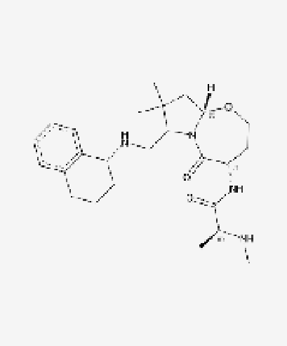 CN[C@@H](C)C(=O)N[C@H]1CCO[C@H]2CC(C)(C)C(CNC3CCCc4ccccc43)N2C1=O